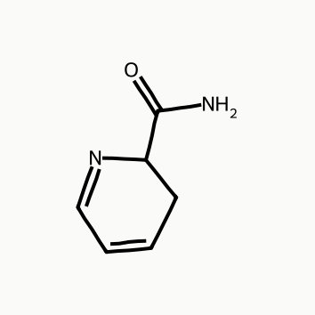 NC(=O)C1CC=CC=N1